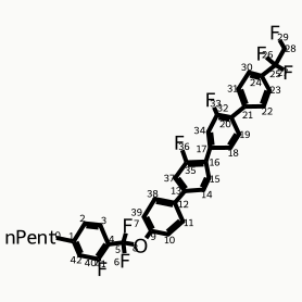 CCCCCc1ccc(C(F)(F)Oc2ccc(-c3ccc(-c4ccc(-c5ccc(C(F)(F)CF)cc5)c(F)c4)c(F)c3)cc2)c(F)c1